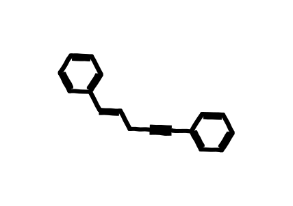 C(#Cc1ccccc1)C/C=C/c1ccccc1